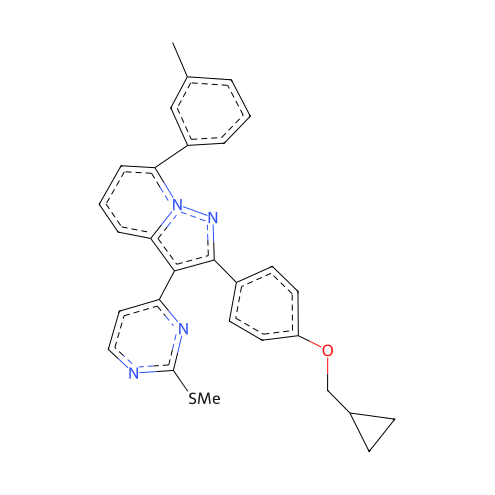 CSc1nccc(-c2c(-c3ccc(OCC4CC4)cc3)nn3c(-c4cccc(C)c4)cccc23)n1